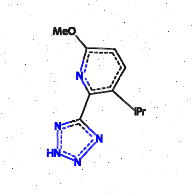 COc1ccc(C(C)C)c(-c2nn[nH]n2)n1